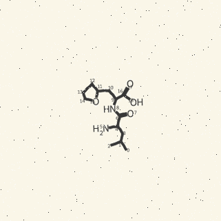 CC(C)CC(N)C(=O)NC(CC1CCCO1)C(=O)O